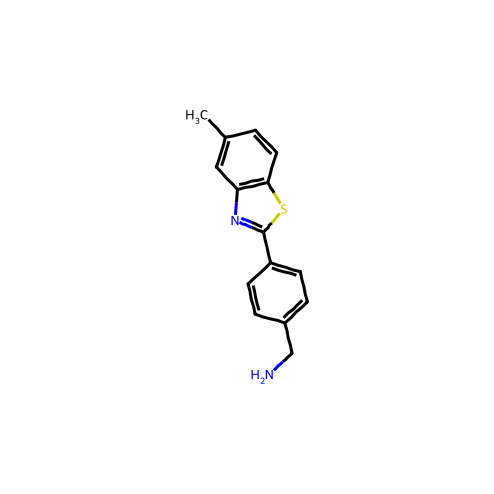 Cc1ccc2sc(-c3ccc(CN)cc3)nc2c1